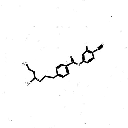 CCCC(C)CCCc1ccc(C(=O)Oc2ccc(C#N)c(F)c2)cc1